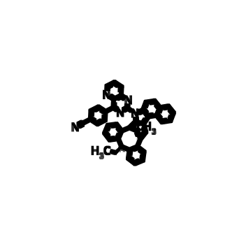 CC[C@@H]1c2ccccc2-c2cc3c4c5ccccc5ccc4n(-c4nc(-c5ccc(C#N)cc5)c5ncccc5n4)c3c(c2C)-c2ccccc21